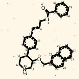 O=C(OCC=Cc1ccc(C2CCNCC2OCc2ccc3ccccc3c2)cc1)c1ccccc1